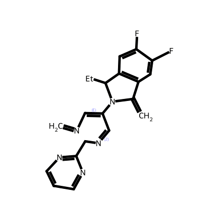 C=N/C=C(\C=N/Cc1ncccn1)N1C(=C)c2cc(F)c(F)cc2C1CC